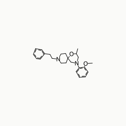 COc1ccccc1N1CC(C)OC2(CCN(CCc3ccccc3)CC2)C1